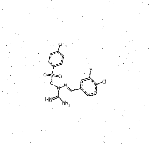 Cc1ccc(S(=O)(=O)ON(N=Cc2ccc(Cl)c(F)c2)C(=N)N)cc1